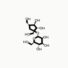 OC[C@H]1C[C@@](CO)(O[C@H]2O[C@H](CO)[C@@H](O)[C@H](O)[C@H]2O)[C@@H](O)[C@@H]1O